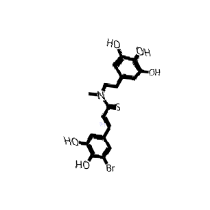 CN(CCc1cc(O)c(O)c(O)c1)C(=S)/C=C/c1cc(O)c(O)c(Br)c1